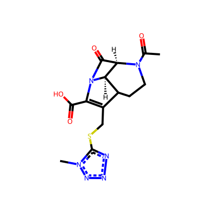 CC(=O)N1CCC2C(CSc3nnnn3C)=C(C(=O)O)N3C(=O)[C@@H]1[C@@H]23